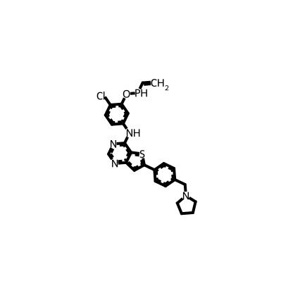 C=CPOc1cc(Nc2ncnc3cc(-c4ccc(CN5CCCC5)cc4)sc23)ccc1Cl